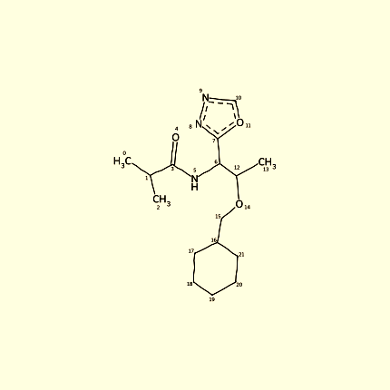 CC(C)C(=O)NC(c1nnco1)C(C)OCC1CCCCC1